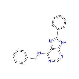 c1ccc(CNc2ncnc3[nH]c(-c4ccccc4)nc23)cc1